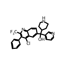 OC(c1cccnc1)(c1ccc2nc(C(F)(F)F)c(-c3ccccc3)c(Cl)c2c1)C1CCNCC1